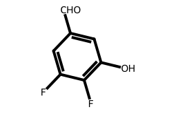 O=Cc1cc(O)c(F)c(F)c1